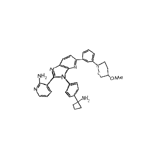 COC1CCN(c2cccc(-c3ccc4nc(-c5cccnc5N)n(-c5ccc(C6(N)CCC6)cc5)c4n3)c2)CC1